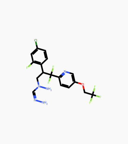 N/N=C\N(N)CC(c1ccc(Cl)cc1F)C(F)(F)c1ccc(OCC(F)(F)F)cn1